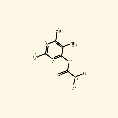 CCN(CC)C(=O)Oc1nc(N)nc(OCC(C)C)c1N